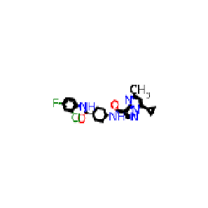 Cc1cc(C2CC2)n2ncc(C(=O)N[C@H]3CC[C@H](C(=O)Nc4ccc(F)cc4Cl)CC3)c2n1